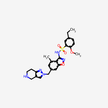 CCc1ccc(OC)c(S(=O)(=O)Nc2noc3cc(Cn4cc5c(n4)CCNC5)cc(C)c23)c1